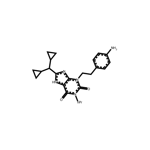 CCCn1c(=O)c2[nH]c(C(C3CC3)C3CC3)nc2n(CCc2ccc(N)cc2)c1=O